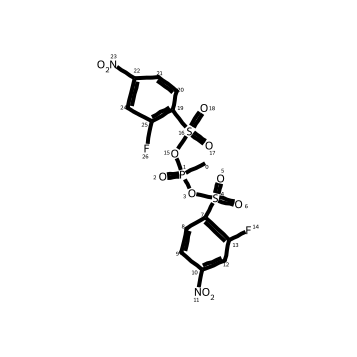 CP(=O)(OS(=O)(=O)c1ccc([N+](=O)[O-])cc1F)OS(=O)(=O)c1ccc([N+](=O)[O-])cc1F